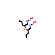 C=CCC(=CN=C=O)OC(=CN=C=O)CC=C